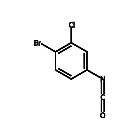 O=C=Nc1ccc(Br)c(Cl)c1